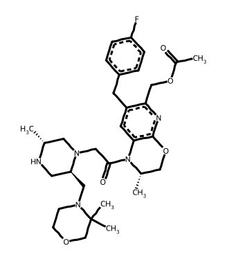 CC(=O)OCc1nc2c(cc1Cc1ccc(F)cc1)N(C(=O)CN1C[C@@H](C)NC[C@@H]1CN1CCOCC1(C)C)[C@@H](C)CO2